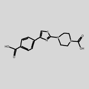 O=C(O)c1ccc(-c2csc(N3CCN(C(=O)O)CC3)n2)cc1